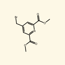 COC(=O)c1cc(CBr)cc(C(=O)OC)n1